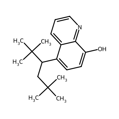 CC(C)(C)CC(c1ccc(O)c2ncccc12)C(C)(C)C